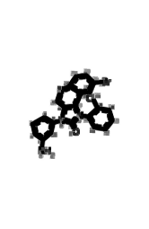 Nc1cccc(-n2c(=O)n(-c3ccccc3Cl)c3c4cc(Br)ccc4ncc32)c1